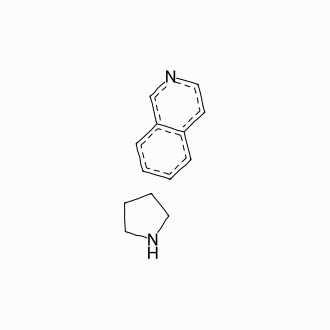 C1CCNC1.c1ccc2cnccc2c1